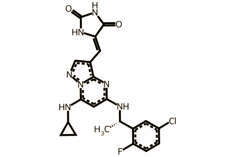 C[C@H](Nc1cc(NC2CC2)n2ncc(/C=C3\NC(=O)NC3=O)c2n1)c1cc(Cl)ccc1F